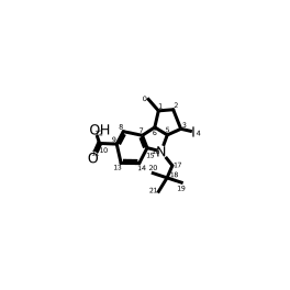 CC1CC(I)C2C1c1cc(C(=O)O)ccc1N2CC(C)(C)C